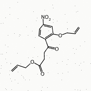 C=CCOC(=O)CCC(=O)c1ccc([N+](=O)[O-])cc1OCC=C